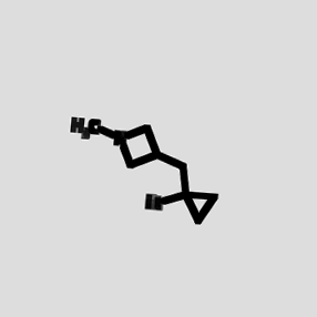 CCC1(CC2CN(C)C2)CC1